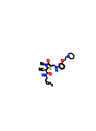 C=CCNC(=O)C(C#N)=c1sc(=CNc2cccc(OCCN3CCCCC3)c2)c(=O)n1CC